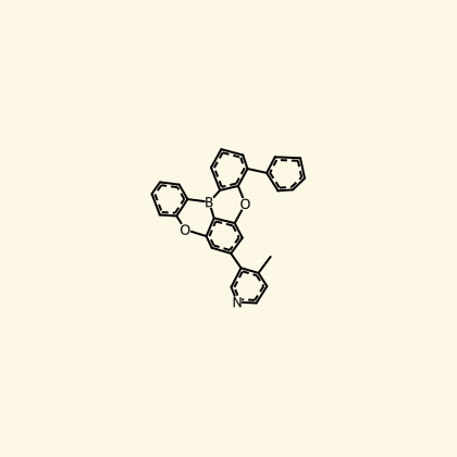 Cc1ccncc1-c1cc2c3c(c1)Oc1c(cccc1-c1ccccc1)B3c1ccccc1O2